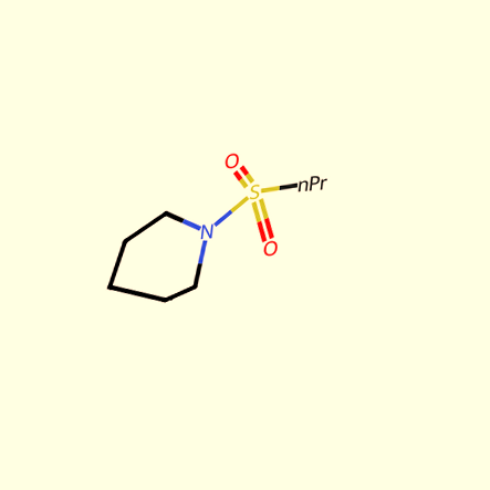 CCCS(=O)(=O)N1C[CH]CCC1